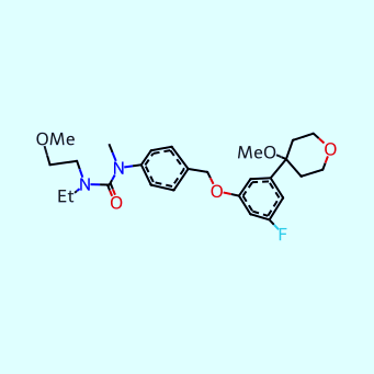 CCN(CCOC)C(=O)N(C)c1ccc(COc2cc(F)cc(C3(OC)CCOCC3)c2)cc1